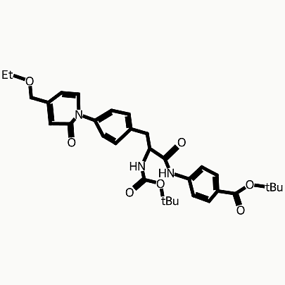 CCOCc1ccn(-c2ccc(CC(NC(=O)OC(C)(C)C)C(=O)Nc3ccc(C(=O)OC(C)(C)C)cc3)cc2)c(=O)c1